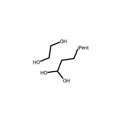 CCCC(C)CCC(O)O.OCCO